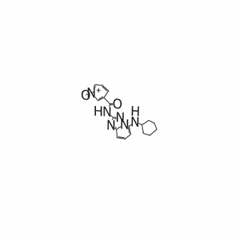 O=C(Nc1nc2cccc(NC3CCCCC3)n2n1)c1ccc[n+]([O-])c1